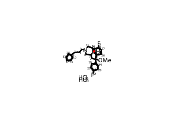 COC(CC1CN(CCCc2ccccc2)CCN1)(c1ccc(F)cc1)c1ccc(F)cc1.Cl.Cl